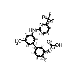 Cc1cc(Nc2nccc(C(F)(F)F)n2)cc(-c2ccc(Cl)c(OC(=O)O)c2)c1